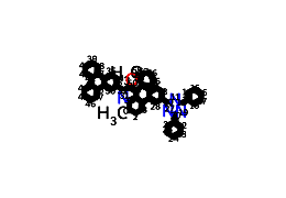 CC1CC=C(c2cccc(-c3nc(-c4ccccc4)nc(-c4ccccc4)n3)c2)c2c1nc(-c1ccc3c4ccccc4c4ccccc4c3c1)c1c2C2=CC=CCC2(C)O1